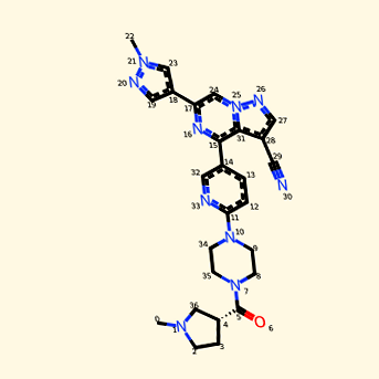 CN1CC[C@@H](C(=O)N2CCN(c3ccc(-c4nc(-c5cnn(C)c5)cn5ncc(C#N)c45)cn3)CC2)C1